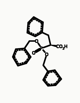 O=C(O)[C@H](Cc1ccccc1)P(=O)(OCc1ccccc1)OCc1ccccc1